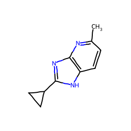 Cc1ccc2[nH]c(C3CC3)nc2n1